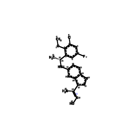 COc1c(Cl)cc(F)cc1[C@@H](C)Nc1ccn2ncc(/C(N)=N/O)c2n1